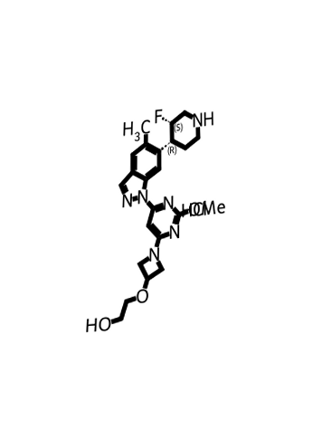 COc1nc(N2CC(OCCO)C2)cc(-n2ncc3cc(C)c([C@H]4CCNC[C@H]4F)cc32)n1.Cl